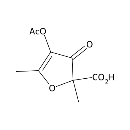 CC(=O)OC1=C(C)OC(C)(C(=O)O)C1=O